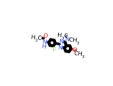 COc1ccc2nc(-c3ccc(NC(C)=O)cc3F)nc(N(C)C)c2c1